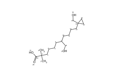 CC(C)(CCCCC(CO)CCCCC1(CO)CC1)C(=O)O